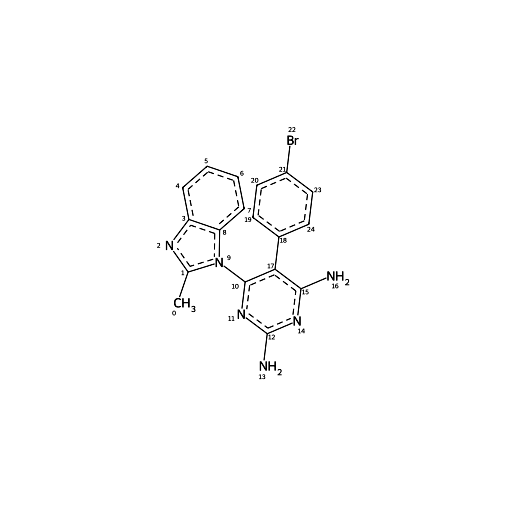 Cc1nc2ccccc2n1-c1nc(N)nc(N)c1-c1ccc(Br)cc1